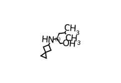 CC(C)C[C@@H](CO)NC1CC2(CC2)C1